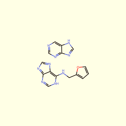 c1coc(CNc2[nH]cnc3ncnc2-3)c1.c1ncc2[nH]cnc2n1